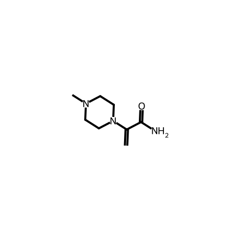 C=C(C(N)=O)N1CCN(C)CC1